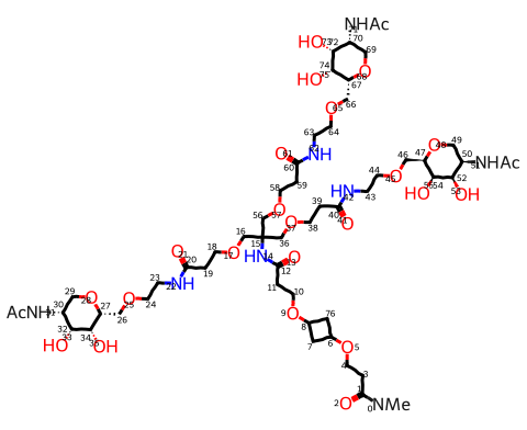 CNC(=O)CCOC1CC(OCCC(=O)NC(COCCC(=O)NCCOC[C@H]2OC[C@@H](NC(C)=O)[C@@H](O)[C@H]2O)(COCCC(=O)NCCOC[C@H]2OC[C@@H](NC(C)=O)[C@@H](O)[C@H]2O)COCCC(=O)NCCOC[C@H]2OC[C@@H](NC(C)=O)[C@@H](O)[C@H]2O)C1